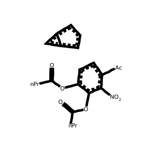 CCCC(=O)Oc1ccc(C(C)=O)c([N+](=O)[O-])c1OC(=O)CCC.c1cc2cc-2c1